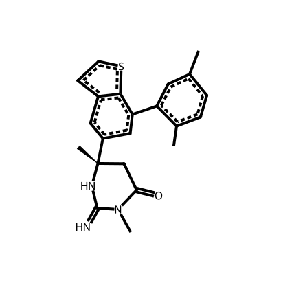 Cc1ccc(C)c(-c2cc([C@]3(C)CC(=O)N(C)C(=N)N3)cc3ccsc23)c1